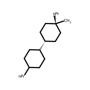 CCCC1CCC([C@H]2CC[C@](C)(CCC)CC2)CC1